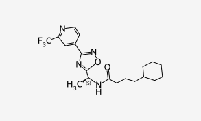 C[C@H](NC(=O)CCCC1CCCCC1)c1nc(-c2ccnc(C(F)(F)F)c2)no1